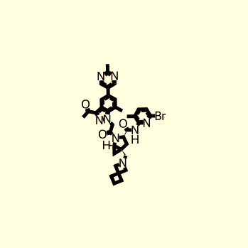 CC(=O)c1nn(CC(=O)N2[C@H](C(=O)Nc3nc(Br)ccc3C)C[C@@]3(CN4CC5(CCC5)C4)C[C@@H]23)c2c(C)cc(-c3cnc(C)nc3)cc12